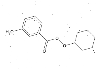 Cc1cccc(C(=O)OO[C]2CCCCC2)c1